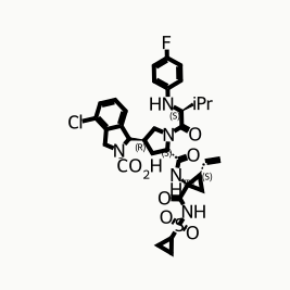 C=C[C@@H]1C[C@]1(NC(=O)[C@@H]1C[C@@H](C2c3cccc(Cl)c3CN2C(=O)O)CN1C(=O)[C@@H](Nc1ccc(F)cc1)C(C)C)C(=O)NS(=O)(=O)C1CC1